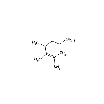 CCCCCCCC(C)C(C)=C(C)C